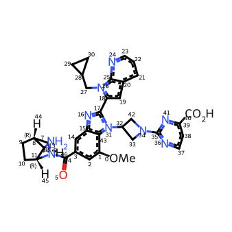 COc1cc(C(=O)N2C[C@H]3CC[C@@H]2[C@@H]3N)cc2nc(-c3cc4cccnc4n3CC3CC3)n(C3CN(c4nccc(C(=O)O)n4)C3)c12